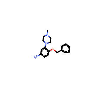 CN1CCN(c2cc(N)ccc2OCc2ccccc2)CC1